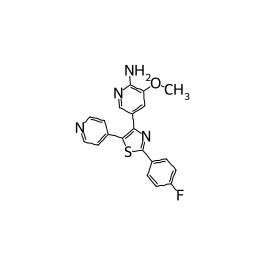 COc1cc(-c2nc(-c3ccc(F)cc3)sc2-c2ccncc2)cnc1N